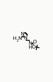 CC(C)(C)OC(=O)NCCn1ccnc1N